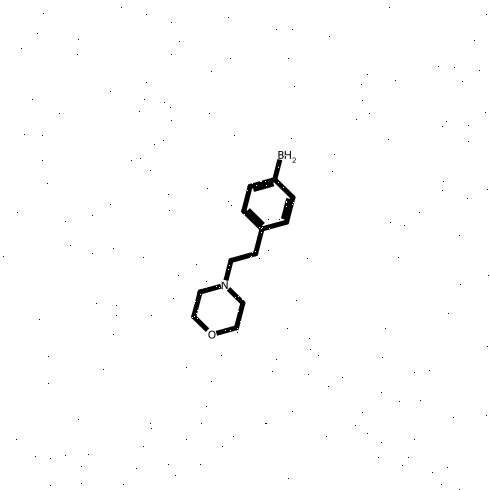 Bc1ccc(CCN2CCOCC2)cc1